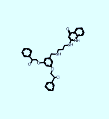 O=c1cc(NCCCNCc2cc(OCC(Cl)c3ccccc3)cc(OCC(Cl)c3ccccc3)c2)[nH]c2ccccc12